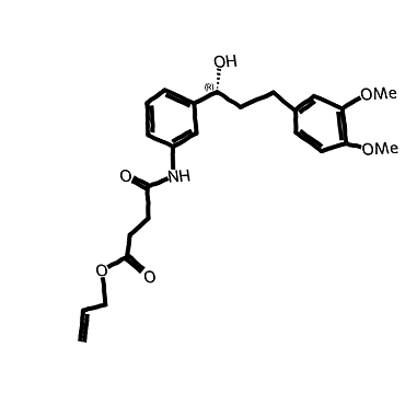 C=CCOC(=O)CCC(=O)Nc1cccc([C@H](O)CCc2ccc(OC)c(OC)c2)c1